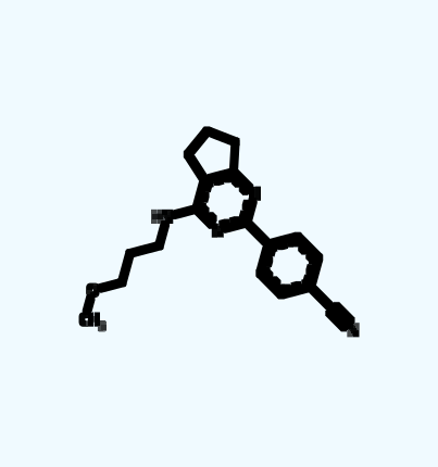 COCCCNc1nc(-c2ccc(C#N)cc2)nc2c1CCC2